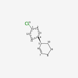 Clc1ccc([C@@H]2C=CCCC2)cc1